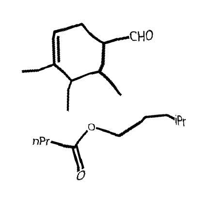 CC1=CCC(C=O)C(C)C1C.CCCC(=O)OCCC(C)C